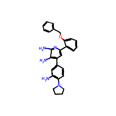 Nc1cc(-c2cc(-c3ccccc3OCc3ccccc3)nc(N)c2N)ccc1N1CCCC1